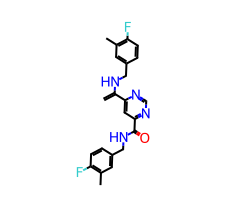 C=C(NCc1ccc(F)c(C)c1)c1cc(C(=O)NCc2ccc(F)c(C)c2)ncn1